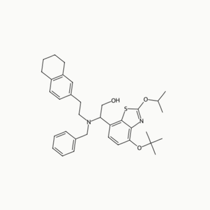 CC(C)Oc1nc2c(OC(C)(C)C)ccc(C(CO)N(CCc3ccc4c(c3)CCCC4)Cc3ccccc3)c2s1